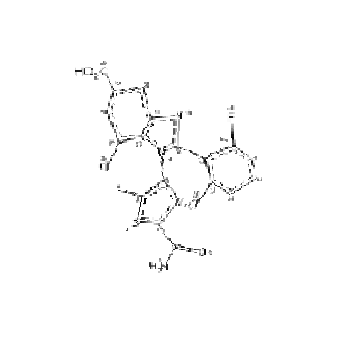 Cc1sc(C(N)=O)nc1-n1c(-c2c(F)cccc2Cl)nc2cc(C(=O)O)cc(Cl)c21